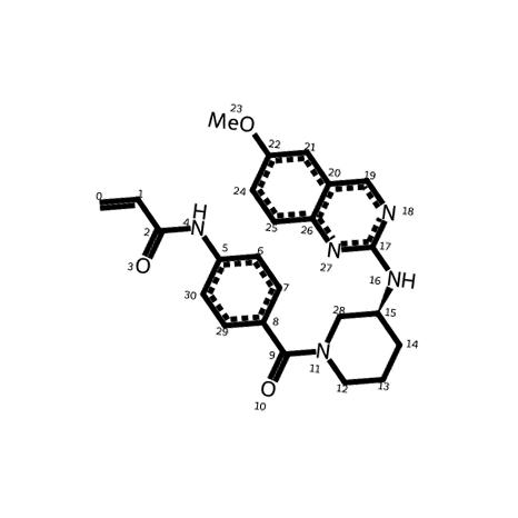 C=CC(=O)Nc1ccc(C(=O)N2CCC[C@H](Nc3ncc4cc(OC)ccc4n3)C2)cc1